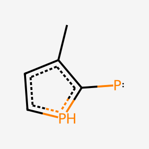 Cc1cc[pH]c1[P]